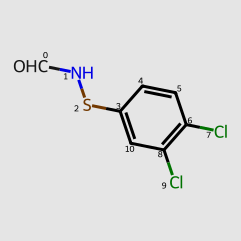 O=CNSc1ccc(Cl)c(Cl)c1